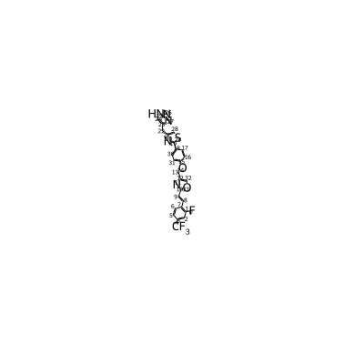 Fc1cc(C(F)(F)F)ccc1C=Cc1nc(COc2ccc(-c3nc(Cc4c[nH]nn4)cs3)cc2)co1